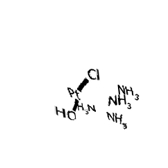 N.N.N.N.[OH][Pt][Cl]